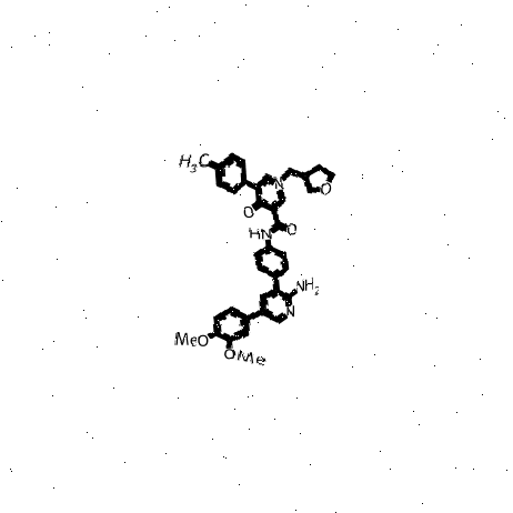 COc1ccc(-c2cnc(N)c(-c3ccc(NC(=O)c4cn(CC5CCOC5)cc(-c5ccc(C)cc5)c4=O)cc3)c2)cc1OC